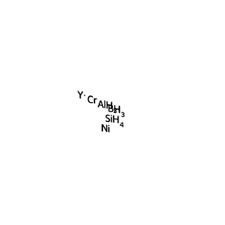 B.[AlH3].[Cr].[Ni].[SiH4].[Y]